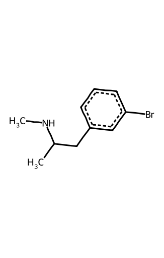 CNC(C)Cc1cccc(Br)c1